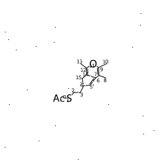 CC(=O)SCCC1[C]=C2C(C)=C(C)OC(C)=C2C1